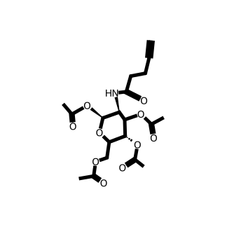 C#CCCC(=O)N[C@H]1C(OC(C)=O)[C@H](OC(C)=O)C(COC(C)=O)O[C@H]1OC(C)=O